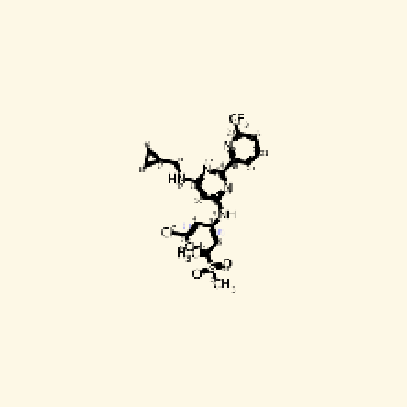 C=C(/C=C(\C=C(/C)Cl)Nc1cc(NCC2CC2)nc(-c2cccc(C(F)(F)F)n2)n1)S(C)(=O)=O